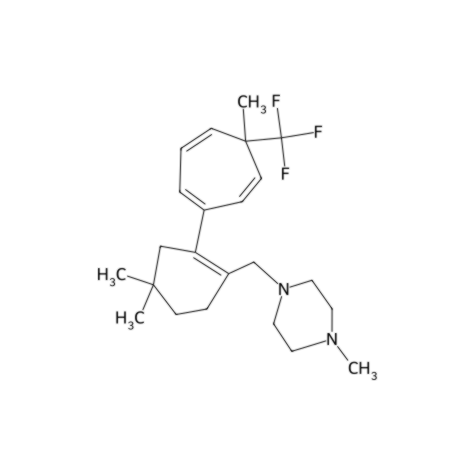 CN1CCN(CC2=C(C3=CC=CC(C)(C(F)(F)F)C=C3)CC(C)(C)CC2)CC1